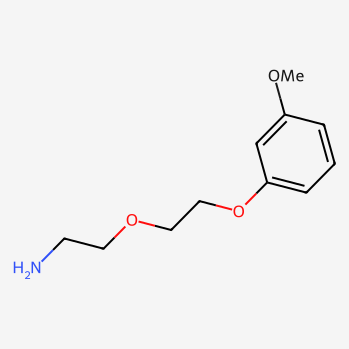 COc1cccc(OCCOCCN)c1